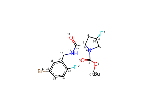 CC(C)(C)OC(=O)N1C[C@H](F)C[C@H]1C(=O)NCc1cc(Br)ccc1F